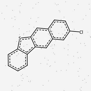 Clc1ccc2cc3sc4ccccc4c3cc2c1